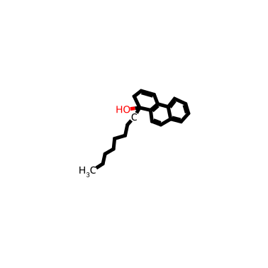 CCCCCCCCC1(O)CC=Cc2c1ccc1ccccc21